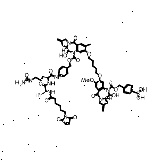 C=C1C[C@H]2C(O)N(C(=O)OCc3ccc(NC(=O)[C@H](CCCNC(N)=O)NC(=O)[C@@H](NC(=O)CCCCCN4C(=O)C=CC4=O)C(C)C)cc3)c3cc(OCCCCCOc4cc5c(cc4OC)C(=O)N4CC(=C)C[C@H]4C(O)N5C(=O)OCc4ccc(B(O)O)cc4)c(C)cc3C(=O)N2C1